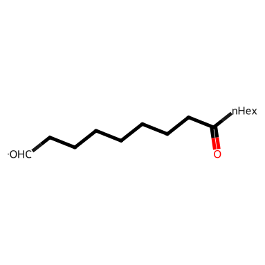 CCCCCCC(=O)CCCCCCC[C]=O